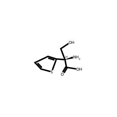 N[C@@](CO)(C(=O)O)c1cccs1